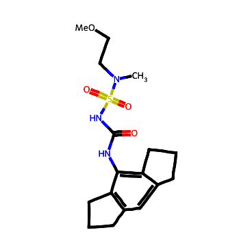 COCCN(C)S(=O)(=O)NC(=O)Nc1c2c(cc3c1CCC3)CCC2